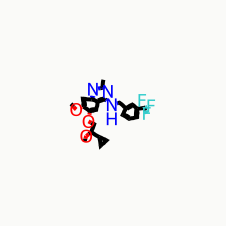 COc1cc2nc(C)nc(NCc3cccc(C(F)(F)F)c3)c2cc1OCC(OC)C1CC1